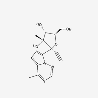 C#C[C@@]1(c2ccc3c(C)ncnn23)O[C@H](CO)[C@@H](O)[C@@]1(C)O